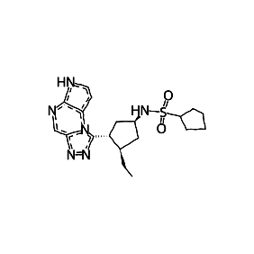 CC[C@@H]1C[C@H](NS(=O)(=O)C2CCCC2)C[C@H]1c1nnc2cnc3[nH]ccc3n12